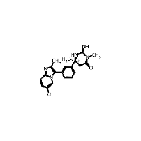 Cc1nc2ccc(Cl)cn2c1-c1cccc([C@]2(C)CC(=O)N(C)C(=N)N2)c1